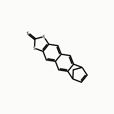 S=c1sc2cc3cc4c(cc3cc2s1)C1C=CC4C1